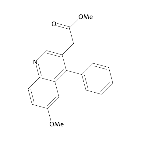 COC(=O)Cc1cnc2ccc(OC)cc2c1-c1ccccc1